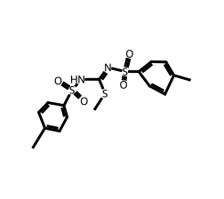 CSC(=NS(=O)(=O)c1ccc(C)cc1)NS(=O)(=O)c1ccc(C)cc1